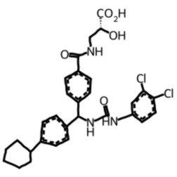 O=C(Nc1ccc(Cl)c(Cl)c1)NC(c1ccc(C(=O)NC[C@@H](O)C(=O)O)cc1)c1ccc(C2CCCCC2)cc1